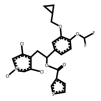 O=C(OC(Cc1c(Cl)c[n+]([O-])cc1Cl)c1ccc(OC(F)F)c(OCC2CC2)c1)c1ccsc1